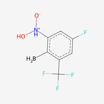 Bc1c([NH+]([O-])O)cc(F)cc1C(F)(F)F